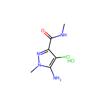 CNC(=O)c1nn(C)c(N)c1Cl.Cl